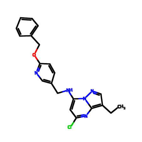 CCc1cnn2c(NCc3ccc(OCc4ccccc4)nc3)cc(Cl)nc12